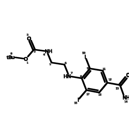 CC(C)(C)OC(=O)NCCNc1c(I)cc(C(N)=O)cc1I